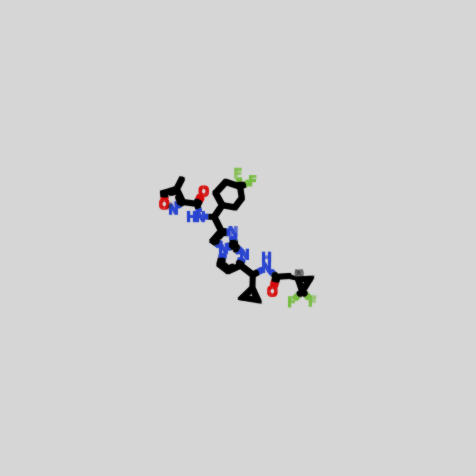 Cc1conc1C(=O)NC(c1cn2ccc(C(NC(=O)C[C@H]3CC3(F)F)C3CC3)nc2n1)C1CCC(F)(F)CC1